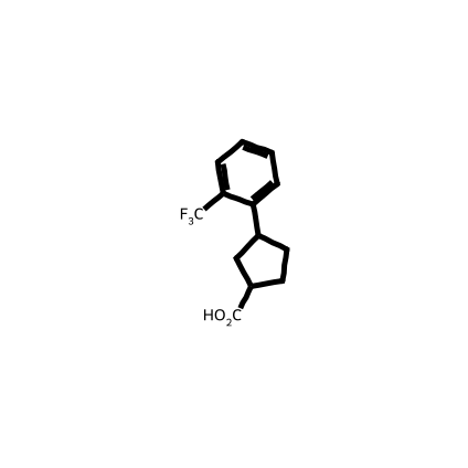 O=C(O)C1CCC(c2ccccc2C(F)(F)F)C1